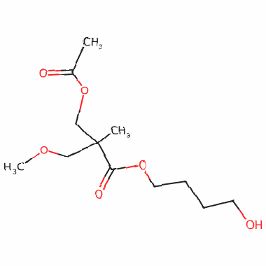 COCC(C)(COC(C)=O)C(=O)OCCCCO